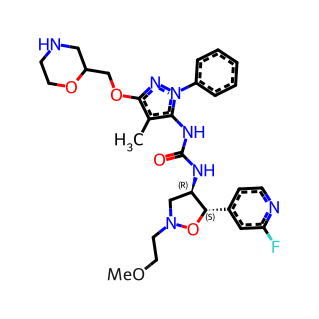 COCCN1C[C@@H](NC(=O)Nc2c(C)c(OCC3CNCCO3)nn2-c2ccccc2)[C@H](c2ccnc(F)c2)O1